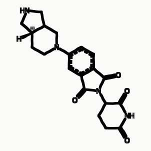 O=C1CCC(N2C(=O)c3ccc(N4CC[C@@H]5CNCC5C4)cc3C2=O)C(=O)N1